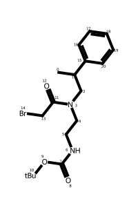 CC(CN(CCNC(=O)OC(C)(C)C)C(=O)CBr)c1ccccc1